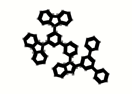 c1ccc(-c2cc(-c3ccccc3)cc(-c3nc4ccccc4n3-c3cccc(-c4cc(-n5c6ccccc6c6ccccc65)cc(-n5c6ccccc6c6ccccc65)c4)c3)c2)cc1